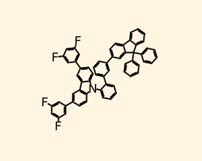 Fc1cc(F)cc(-c2ccc3c(c2)c2cc(-c4cc(F)cc(F)c4)ccc2n3-c2ccccc2-c2cccc(-c3ccc4c(c3)C(c3ccccc3)(c3ccccc3)c3ccccc3-4)c2)c1